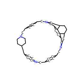 C1CC2CCC1CN1CCC(CC1)C1CCN(CC1)CC1CCC(CC1)CN1CC3CCC4CN(C2)CC2CCC(C1)C3C42